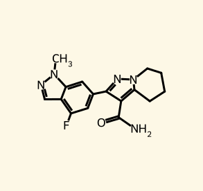 Cn1ncc2c(F)cc(-c3nn4c(c3C(N)=O)CCCC4)cc21